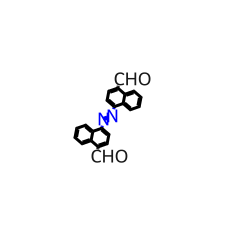 O=Cc1ccc(N=Nc2ccc(C=O)c3ccccc23)c2ccccc12